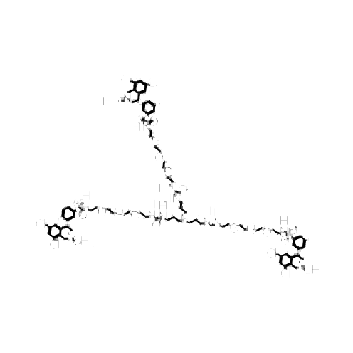 CN1Cc2c(Cl)cc(Cl)cc2[C@H](c2cccc(S(=O)(=O)NCCOCCOCCOCCNCNCCCN(CCCNC(=O)NCCOCCOCCOCCNS(=O)(=O)c3cccc([C@@H]4CN(C)Cc5c(Cl)cc(Cl)cc54)c3)CCCNC(=O)NCCOCCOCCOCCNS(=O)(=O)c3cccc([C@@H]4CN(C)Cc5c(Cl)cc(Cl)cc54)c3)c2)C1